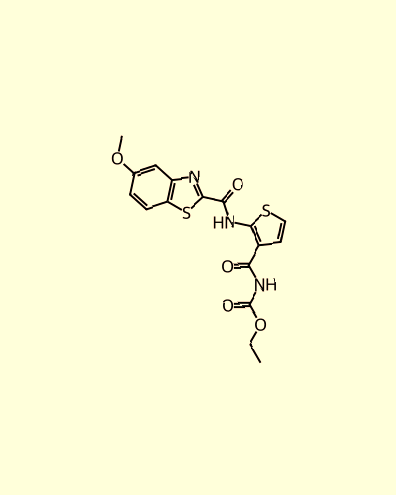 CCOC(=O)NC(=O)c1ccsc1NC(=O)c1nc2cc(OC)ccc2s1